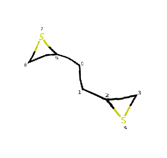 C(CC1CS1)C1CS1